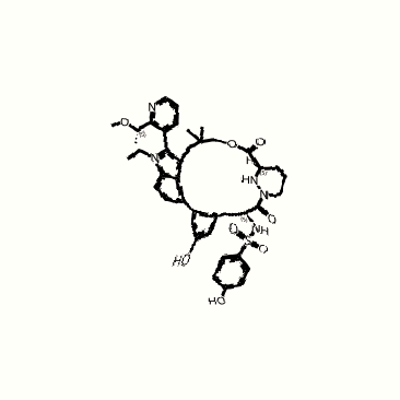 CCn1c(-c2cccnc2[C@H](C)OC)c2c3cc(ccc31)-c1cc(O)cc(c1)C[C@H](NS(=O)(=O)c1ccc(O)cc1)C(=O)N1CCC[C@H](N1)C(=O)OCC(C)(C)C2